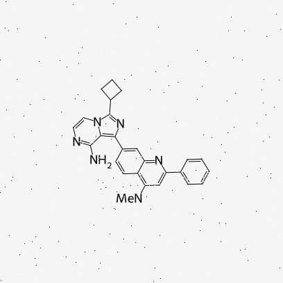 CNc1cc(-c2ccccc2)nc2cc(-c3nc(C4CCC4)n4ccnc(N)c34)ccc12